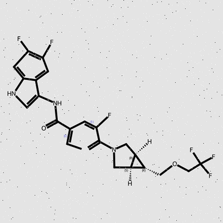 C=C(/C(F)=C\C(=C/C)C(=O)Nc1c[nH]c2cc(F)c(F)cc12)N1C[C@@H]2[C@@H](COCC(F)(F)F)[C@@H]2C1